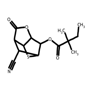 CCC(C)(C)C(=O)OC1C2OC(=O)C3C(C#N)C1SC23